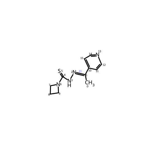 C/C(=N\NC(=S)N1CCC1)c1ccncc1